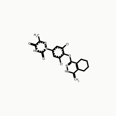 C=C1NN=C(Oc2c(Cl)cc(-n3nc(C)c(=O)[nH]c3=O)cc2Cl)C2=C1CCCC2